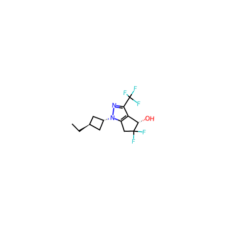 CC[C@H]1C[C@H](n2nc(C(F)(F)F)c3c2CC(F)(F)[C@H]3O)C1